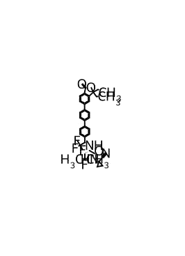 CCC1(CC)OC(=O)c2ccc(-c3ccc(-c4ccc([C@H](N[C@@H](CC(C)(C)F)C(=O)NC5(C#N)CC5)C(F)(F)F)cc4)cc3)cc21